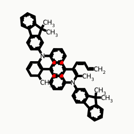 C=C/C=C\C(=C(/C)N(c1ccccc1)c1ccc2c(c1)C(C)(C)c1ccccc1-2)c1ccc(C2=C(N(c3ccccc3)c3ccc4c(c3)C(C)(C)c3ccccc3-4)C=CCC2C)cc1